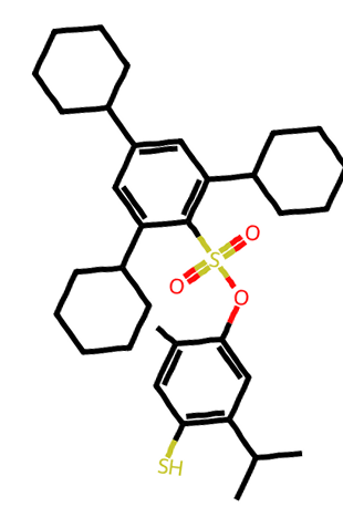 Cc1cc(S)c(C(C)C)cc1OS(=O)(=O)c1c(C2CCCCC2)cc(C2CCCCC2)cc1C1CCCCC1